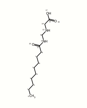 CCCCCCCCCC(=O)NCNCC(=O)O